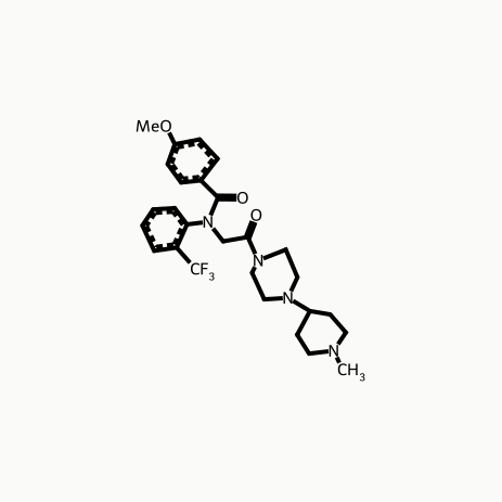 COc1ccc(C(=O)N(CC(=O)N2CCN(C3CCN(C)CC3)CC2)c2ccccc2C(F)(F)F)cc1